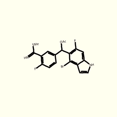 CSC(=N)c1cc(C(OC(C)=O)c2c(F)cc3[nH]ccc3c2Br)ccc1F